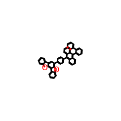 c1ccc(-c2ccccc2-c2c3ccccc3c(-c3ccc(-c4cc5c6ccccc6oc5c5c4oc4ccccc45)cc3)c3ccccc23)cc1